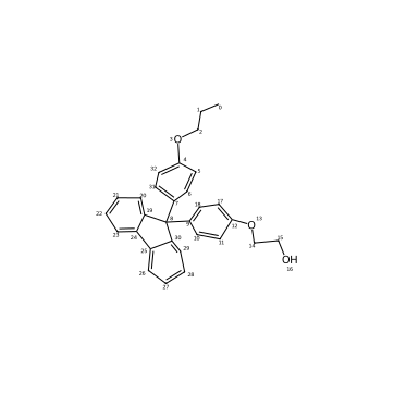 CCCOc1ccc(C2(c3ccc(OCCO)cc3)c3ccccc3-c3ccccc32)cc1